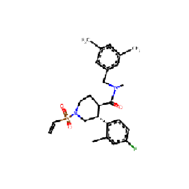 C=CS(=O)(=O)N1CC[C@@H](C(=O)N(C)Cc2cc(C(F)(F)F)cc(C(F)(F)F)c2)[C@H](c2ccc(F)cc2C)C1